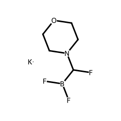 FB(F)C(F)N1CCOCC1.[K]